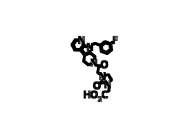 O=C(O)CN1CCN(CC(=O)N2CCc3c(n(Cc4cccc(F)c4)c4ncccc34)C2)C1=O